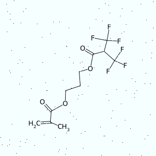 C=C(C)C(=O)OCCCOC(=O)C(C(F)(F)F)C(F)(F)F